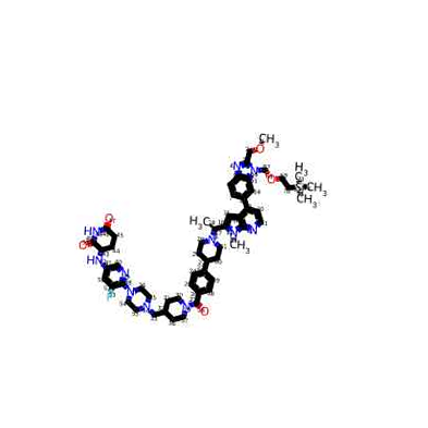 COCc1nc2ccc(-c3ccnc4c3cc([C@H](C)N3CCC(c5ccc(C(=O)N6CCC(CN7CCN(c8ncc(NC9CCC(=O)NC9=O)cc8F)CC7)CC6)cc5)CC3)n4C)cc2n1COCC[Si](C)(C)C